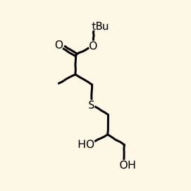 CC(CSCC(O)CO)C(=O)OC(C)(C)C